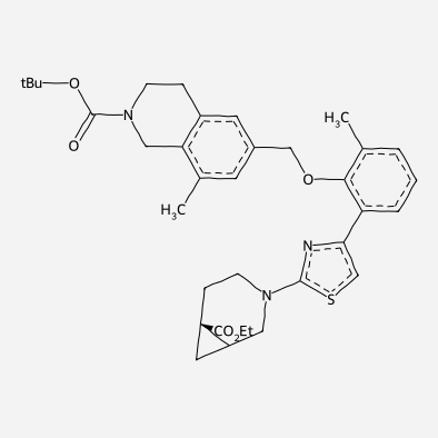 CCOC(=O)[C@@]12CCN(c3nc(-c4cccc(C)c4OCc4cc(C)c5c(c4)CCN(C(=O)OC(C)(C)C)C5)cs3)CC1C2